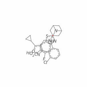 O=C(O)c1cc2sc(N3C4CC(NCc5c(-c6c(Cl)cccc6Cl)noc5C5CC5)CC3C4)nc2cc1F